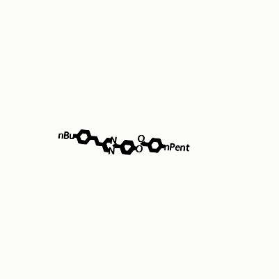 CCCCCC1CCC(C(=O)Oc2ccc(-c3ncc(CCC4CCC(CCCC)CC4)cn3)cc2)CC1